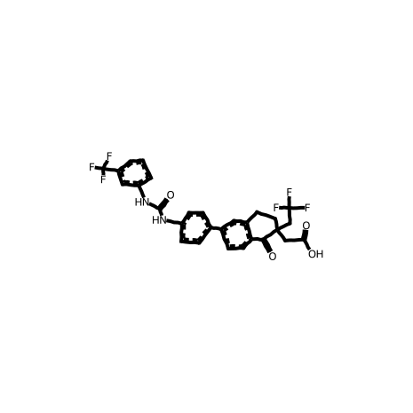 O=C(O)CC1(CC(F)(F)F)CCc2cc(-c3ccc(NC(=O)Nc4cccc(C(F)(F)F)c4)cc3)ccc2C1=O